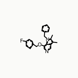 Cc1c(C)n(Cc2ccccc2)c2c(OCc3ccc(F)cc3)cncc12